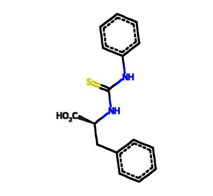 O=C(O)[C@H](Cc1ccccc1)NC(=S)Nc1ccccc1